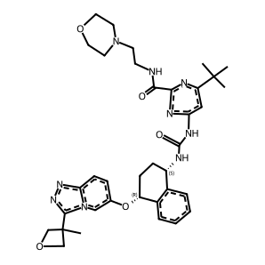 CC(C)(C)c1cc(NC(=O)N[C@H]2CC[C@@H](Oc3ccc4nnc(C5(C)COC5)n4c3)c3ccccc32)nc(C(=O)NCCN2CCOCC2)n1